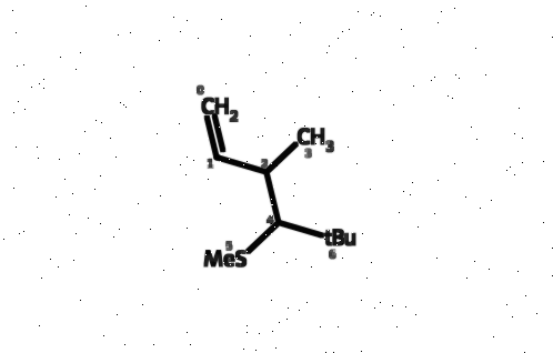 C=CC(C)C(SC)C(C)(C)C